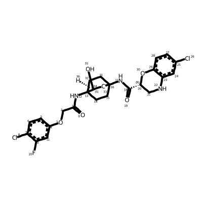 O=C(COc1ccc(Cl)c(F)c1)NC12CCC(NC(=O)[C@H]3CNc4cc(Cl)ccc4O3)(CC1)C[C@@H]2O